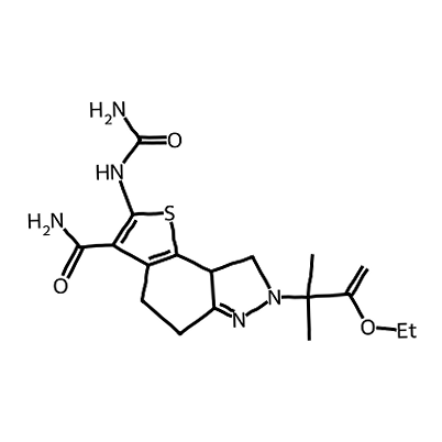 C=C(OCC)C(C)(C)N1CC2C(=N1)CCc1c2sc(NC(N)=O)c1C(N)=O